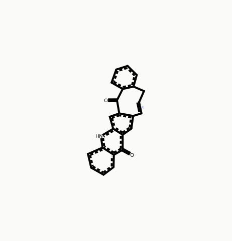 O=C1c2cc3[nH]c4ccccc4c(=O)c3cc2/C=C/Cc2ccccc21